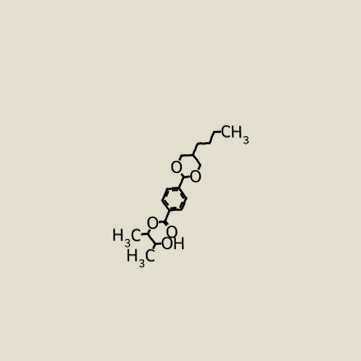 CCCCC1COC(c2ccc(C(=O)OC(C)C(C)O)cc2)OC1